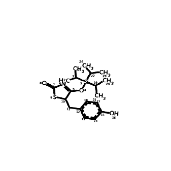 CC(C)[Si](OC1=NC(=O)SC1Cc1ccc(O)cc1)(C(C)C)C(C)C